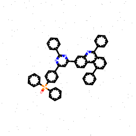 O=P(c1ccccc1)(c1ccccc1)c1ccc(-c2cc(-c3ccc4c(c3)nc(-c3ccccc3)c3cccc(-c5ccccc5)c34)nc(-c3ccccc3)n2)cc1